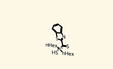 CCCCCC[N+](S)(CCCCCC)C(=S)c1nc2ccccc2s1